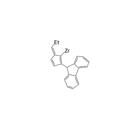 CCC=C1C=CC(C2c3ccccc3-c3ccccc32)=[C]1[Zr]